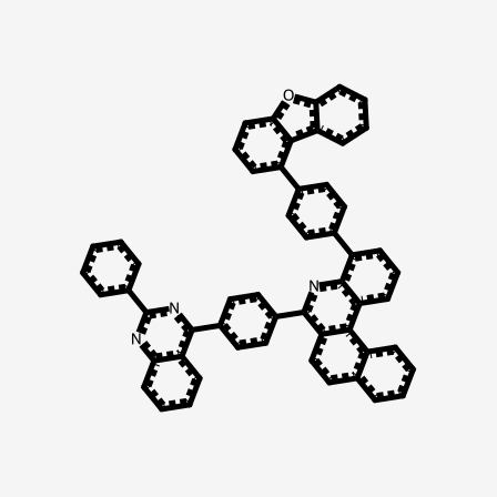 c1ccc(-c2nc(-c3ccc(-c4nc5c(-c6ccc(-c7cccc8oc9ccccc9c78)cc6)cccc5c5c4ccc4ccccc45)cc3)c3ccccc3n2)cc1